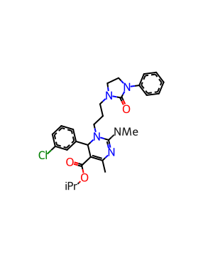 CNC1=NC(C)=C(C(=O)OC(C)C)C(c2cccc(Cl)c2)N1CCCN1CCN(c2ccccc2)C1=O